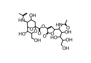 C=C(C)NC1C(O)CC2(C(=O)OC3=CC(C(NC(C)=O)C(O)C(O)C(O)CO)OC3=O)OC(CO)C(O)C1O2